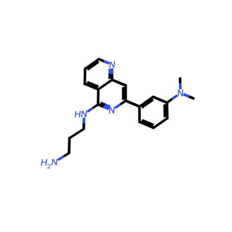 CN(C)c1cccc(-c2cc3ncccc3c(NCCCN)n2)c1